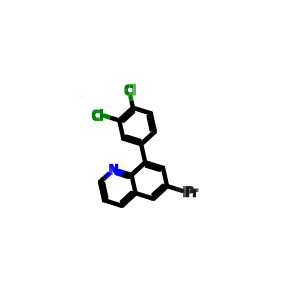 CC(C)c1cc(-c2ccc(Cl)c(Cl)c2)c2ncccc2c1